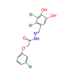 O=C(COc1cccc(Br)c1)N/N=C/c1cc(O)c(O)c(Br)c1Br